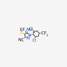 N#Cc1nn(-c2c(Cl)cc(C(F)(F)F)cc2Cl)c(N)c1SC(F)(F)F